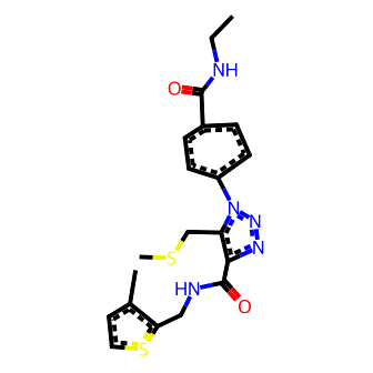 CCNC(=O)c1ccc(-n2nnc(C(=O)NCc3sccc3C)c2CSC)cc1